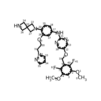 COc1cc(OC)c(F)c(COc2cnc(Nc3ccc(N4CC5(CNC5)C4)c(OCCn4cccn4)c3)nc2)c1F